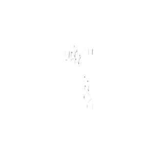 Cc1cn(CCCCN2CCN(c3ccc(Cl)cc3)CC2)c(=O)[nH]c1=O